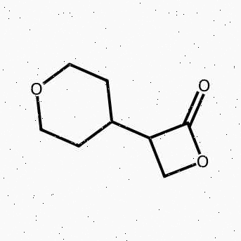 O=C1OCC1C1CCOCC1